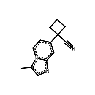 N#CC1(c2ccn3c(I)cnc3c2)CCC1